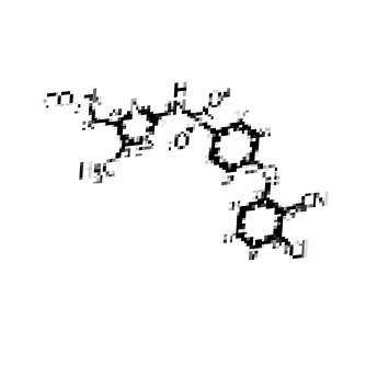 Cc1sc(NS(=O)(=O)c2ccc(Oc3cccc(Cl)c3C#N)cc2)nc1CC(=O)O